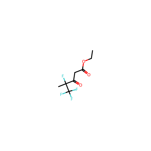 CCOC(=O)CC(=O)C(C)(F)C(F)(F)F